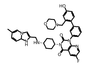 CC1=CN2C=C(CN[C@H]3CC[C@@H](n4c(=O)c5cc(F)cnc5n(-c5cccc(-c6ccc(O)cc6CN6CCOCC6)c5)c4=O)CC3)NC2C=C1